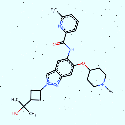 CC(=O)N1CCC(Oc2cc3nn(C4CC(C(C)(C)O)C4)cc3cc2NC(=O)c2cccc(C(F)(F)F)n2)CC1